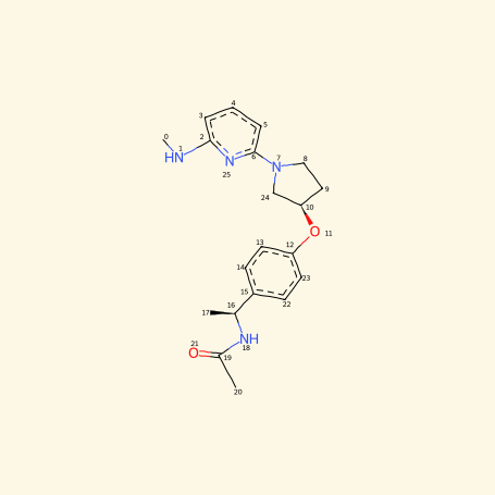 CNc1cccc(N2CC[C@@H](Oc3ccc([C@H](C)NC(C)=O)cc3)C2)n1